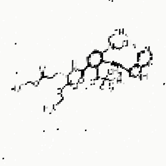 CCOC(=O)CC[C@H](NC(=O)c1ccc(N(CC)CC)c(C#Cc2c[nH]c3ncncc23)c1C(=O)C(C)(C)C)C(=O)OCC